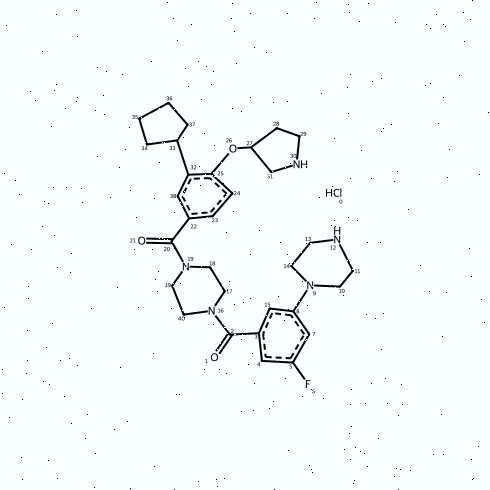 Cl.O=C(c1cc(F)cc(N2CCNCC2)c1)N1CCN(C(=O)c2ccc(OC3CCNC3)c(C3CCCC3)c2)CC1